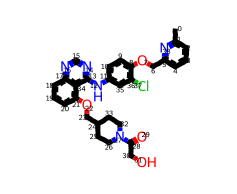 Cc1cccc(COc2ccc(Nc3ncnc4cccc(OCC5CCN(C(=O)CO)CC5)c34)cc2Cl)n1